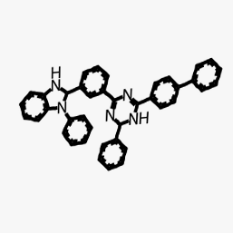 c1ccc(-c2ccc(C3=NC(c4cccc(C5Nc6ccccc6N5c5ccccc5)c4)=NC(c4ccccc4)N3)cc2)cc1